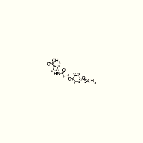 CSO[C@H]1CC[C@@H](OCCC(=O)N[C@H]2C[C@H](C(C)=O)C2)CC1